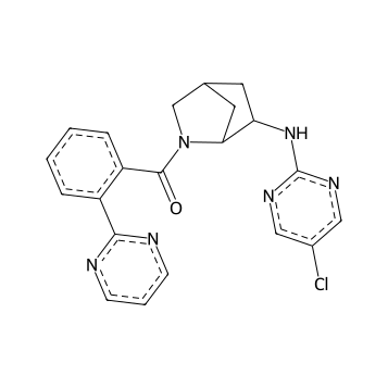 O=C(c1ccccc1-c1ncccn1)N1CC2CC(Nc3ncc(Cl)cn3)C1C2